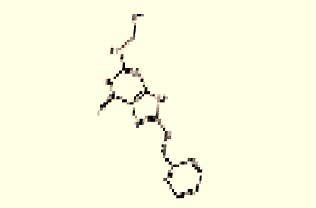 CC(C)CNc1nc2[nH]c(N=Nc3ccccc3)nc2c(=O)[nH]1